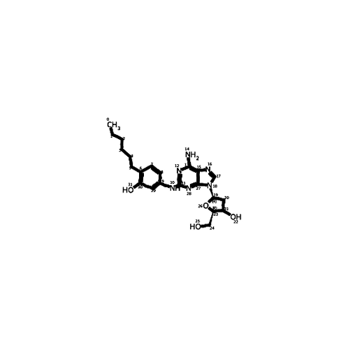 CCCCCCc1ccc(Nc2nc(N)c3ncn([C@H]4CC(O)[C@@H](CO)O4)c3n2)cc1O